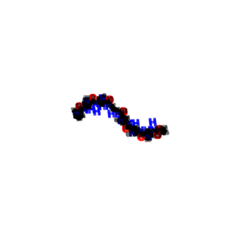 Cn1cc(NC(=O)c2cc(NC(=O)c3cccn3C)cn2C)cc1C(=O)NCCCNC(=O)c1cc(NC(=O)c2cc(NC(=O)c3cc(NC(=O)OC(C)(C)C)cn3C)cn2C)cn1C